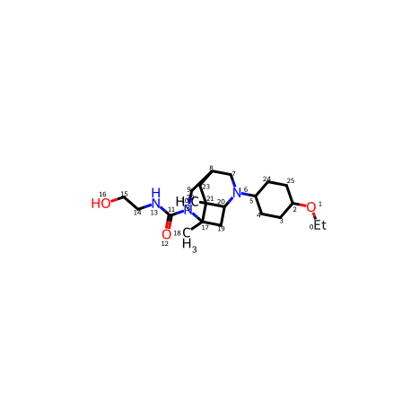 CCOC1CCC(N2CC3CN(C(=O)NCCO)C4(C)CC2C4(C)C3)CC1